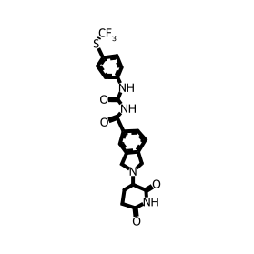 O=C1CCC(N2Cc3ccc(C(=O)NC(=O)Nc4ccc(SC(F)(F)F)cc4)cc3C2)C(=O)N1